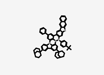 CC(C)(C)c1ccc(N2B3c4c(cc(-c5ccccc5)cc4-n4c5ccc(C67CCCC(CCC6)C7)cc5c5cc(C67CCCC(CCC6)C7)cc3c54)-c3cc4c(cc32)sc2cc3ccccc3cc24)cc1